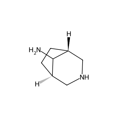 NC1[C@@H]2CC[C@@H]1CNC2